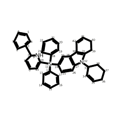 C1=CC(c2ccccc2)NC(S(c2ccccc2)(c2ccccc2)c2ccc3c(c2)c2c(n3C3C=CCCC3)CCC=C2)=C1